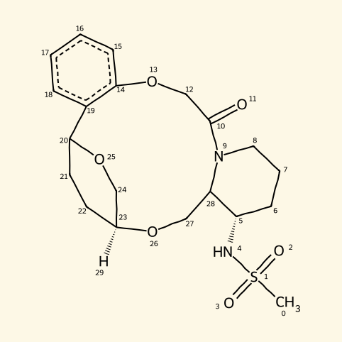 CS(=O)(=O)N[C@H]1CCCN2C(=O)COc3ccccc3C3CC[C@@H](CO3)OCC12